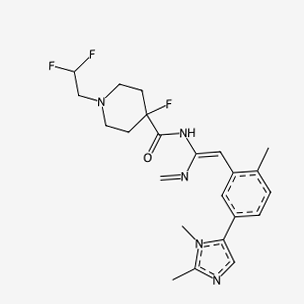 C=N/C(=C\c1cc(-c2cnc(C)n2C)ccc1C)NC(=O)C1(F)CCN(CC(F)F)CC1